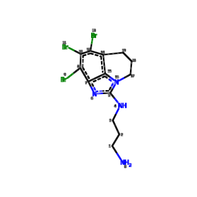 NCCCNc1nc2c(Br)c(Br)c(Br)c3c2n1CCC3